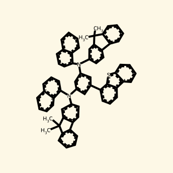 CC1(C)c2ccccc2-c2ccc(N(c3cc(-c4cccc5c4sc4ccccc45)cc(N(c4ccc5c(c4)C(C)(C)c4ccccc4-5)c4cccc5ccccc45)c3)c3cccc4ccccc34)cc21